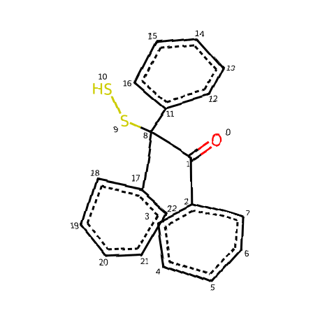 O=C(c1ccccc1)C(SS)(c1ccccc1)c1ccccc1